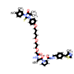 Cc1cc(N2C(=O)C(C)(C)N(c3ccc(OCCCCCOCCCOCC(=O)NC(C(=O)N4CCC[C@H]4C(=O)NCc4ccc(-c5scnc5C)cc4)C(C)(C)C)cc3)C2=S)ccc1C#N